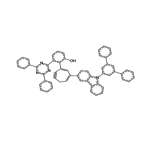 Oc1cccc(-c2nc(-c3ccccc3)nc(-c3ccccc3)n2)c1C1=CC(c2ccc3c(c2)c2ccccc2n3-c2cc(-c3ccccc3)cc(-c3ccccc3)c2)=CCC#C1